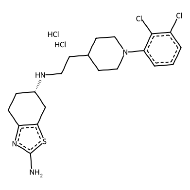 Cl.Cl.Nc1nc2c(s1)C[C@@H](NCCC1CCN(c3cccc(Cl)c3Cl)CC1)CC2